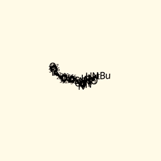 CC(C)(C)NC(=O)Nc1cnc2cnc(OSc3ccc(N4CCC(CCCN5CCOCC5)CC4)cc3)nc2n1